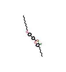 CCCCCCCCCCCOc1ccc(-c2ccc(C(=O)Oc3ccc(CCCCCCC)c(F)c3F)cc2)cc1